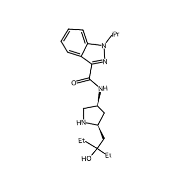 CCC(O)(CC)C[C@@H]1C[C@H](NC(=O)c2nn(C(C)C)c3ccccc23)CN1